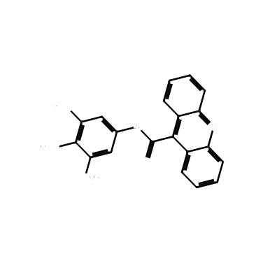 COc1cc(NC(=O)c2c3ccccc3nc3ccccc23)cc(OC)c1OC